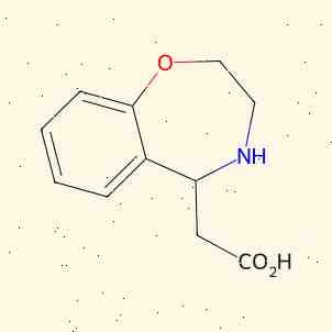 O=C(O)CC1NCCOc2ccccc21